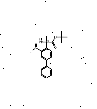 CC(C)(C)OC(=O)[C@@](C)(N)c1ccc(-c2ccccc2)cc1[N+](=O)[O-]